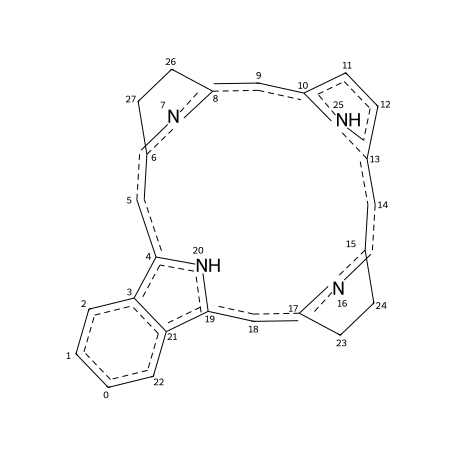 c1ccc2c3cc4nc(cc5ccc(cc6nc(cc([nH]3)c2c1)CC6)[nH]5)CC4